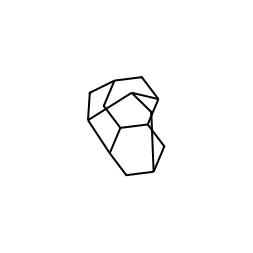 C1C2CC3C4CC5CC(C14)C(C2)C3C5